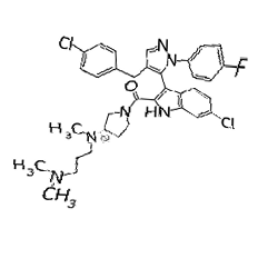 CN(C)CCCN(C)[C@H]1CCN(C(=O)c2[nH]c3cc(Cl)ccc3c2-c2c(Cc3ccc(Cl)cc3)cnn2-c2ccc(F)cc2)C1